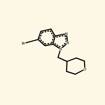 Brc1ccc2nnn(CC3CCOCC3)c2c1